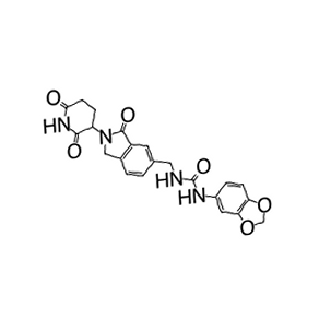 O=C1CCC(N2Cc3ccc(CNC(=O)Nc4ccc5c(c4)OCO5)cc3C2=O)C(=O)N1